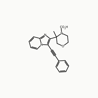 CC1(c2nc3ccccn3c2C#Cc2ccccc2)COCCN1C(=O)O